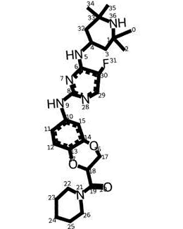 CC1(C)CC(Nc2nc(Nc3ccc4c(c3)OCC(C(=O)N3CCCCC3)O4)ncc2F)CC(C)(C)N1